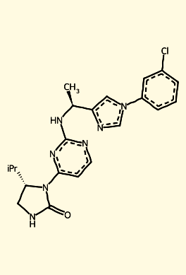 CC(C)[C@H]1CNC(=O)N1c1ccnc(N[C@@H](C)c2cn(-c3cccc(Cl)c3)cn2)n1